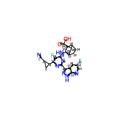 N#CC1CC1c1nc(-c2n[nH]c3ncc(F)cc23)nc(NC2C3CCC(CC3)C2C(=O)O)c1F